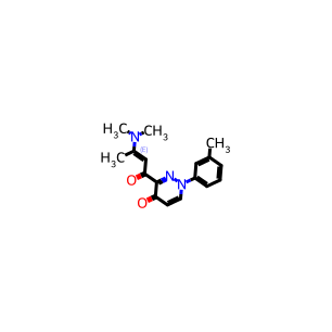 C/C(=C\C(=O)c1nn(-c2cccc(C)c2)ccc1=O)N(C)C